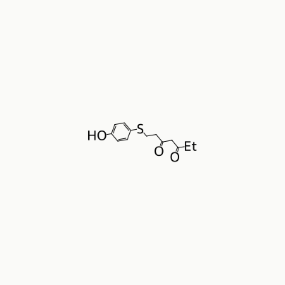 CCC(=O)CC(=O)CCSc1ccc(O)cc1